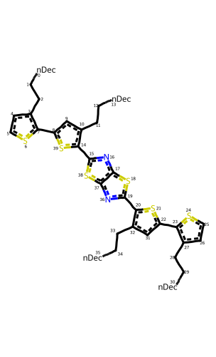 CCCCCCCCCCCCc1ccsc1-c1cc(CCCCCCCCCCCC)c(-c2nc3sc(-c4sc(-c5sccc5CCCCCCCCCCCC)cc4CCCCCCCCCCCC)nc3s2)s1